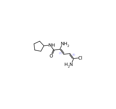 N/C(=C\C=C(/N)Cl)C(=O)NC1CCCC1